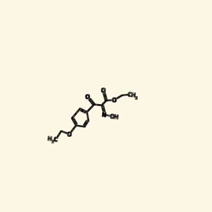 CCOC(=O)C(=NO)C(=O)c1ccc(OCC)cc1